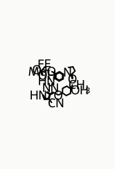 COc1cc(N2CCCC2=O)ccc1Nc1nc(OC2CCC(C)(O)CC2)c2c(C#N)c[nH]c2n1.O=C(O)C(F)(F)F